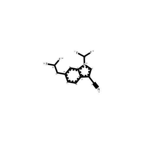 N#Cc1cn(C(F)F)c2cc(CC(F)F)ccc12